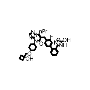 CCCc1c(Cc2ccc(-c3ccccc3C3=NOC(O)N3)cc2F)c(=O)n([C@H]2CC[C@H](OCC3(O)CCC3)CC2)c2ncnn12